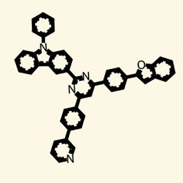 c1ccc(-n2c3ccccc3c3cc(-c4nc(-c5ccc(-c6cccnc6)cc5)cc(-c5ccc(-c6cc7ccccc7o6)cc5)n4)ccc32)cc1